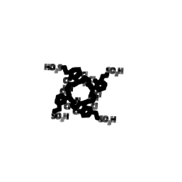 O=S(=O)(O)CCc1ccc(Cl)c(-c2c3nc(c(-c4c(Cl)ccc(CCS(=O)(=O)O)c4Cl)c4ccc([nH]4)c(-c4c(Cl)ccc(CCS(=O)(=O)O)c4Cl)c4nc(c(-c5c(Cl)ccc(CCS(=O)(=O)O)c5Cl)c5ccc2[nH]5)C=C4)C=C3)c1Cl